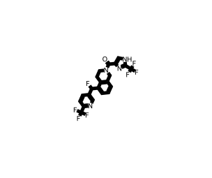 O=C(c1c[nH]c(C(F)(F)F)n1)N1CCc2c(cccc2C(F)c2ccc(C(F)(F)F)nc2)C1